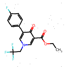 CCOC(=O)c1cn(CC(F)(F)F)cc(-c2ccc(F)cc2)c1=O